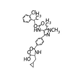 Cc1c(NC(=O)OC(C)c2ccccc2Cl)c(-c2ccc(C(=O)NC(CC3CC3)C(=O)O)cc2)nn1C